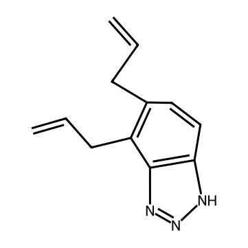 C=CCc1ccc2[nH]nnc2c1CC=C